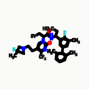 Cc1cc(-c2c(C)cccc2C)cc(C(CC(=O)O)NC(=O)C(CC(C)C)n2cc(CCN3CC(C)(F)C3)c(C(F)(F)F)nc2=O)c1F